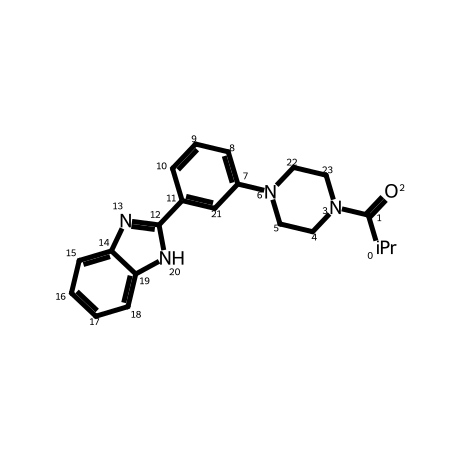 CC(C)C(=O)N1CCN(c2cccc(-c3nc4ccccc4[nH]3)c2)CC1